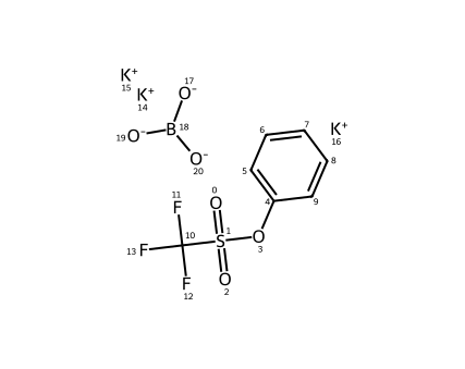 O=S(=O)(Oc1ccccc1)C(F)(F)F.[K+].[K+].[K+].[O-]B([O-])[O-]